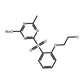 COc1nc(C)nc(S(=O)(=O)c2ccccc2OCCCl)n1